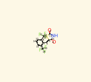 O=C1NC(=O)C(=Cc2c(C(F)(F)F)cccc2C(F)(F)F)S1